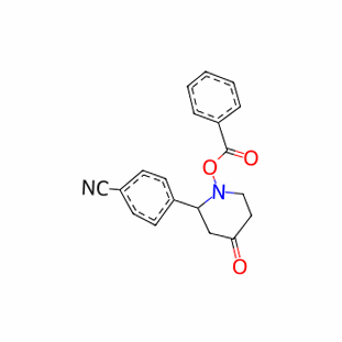 N#Cc1ccc(C2CC(=O)CCN2OC(=O)c2ccccc2)cc1